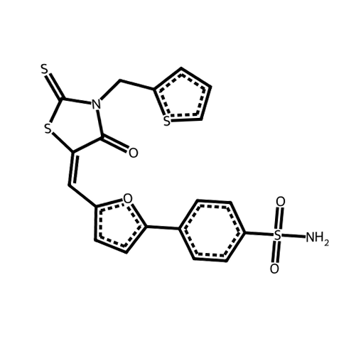 NS(=O)(=O)c1ccc(-c2ccc(C=C3SC(=S)N(Cc4cccs4)C3=O)o2)cc1